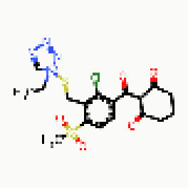 CC[N+]1(SCc2c(S(C)(=O)=O)ccc(C(=O)C3C(=O)CCCC3=O)c2Cl)C=NN=N1